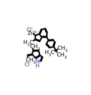 CC1=Cc2c(-c3ccc(C(C)(C)C)cc3)cccc2[CH]1[Zr+2].CC=C1C(C)=Cc2cc[nH]c21.[Cl-].[Cl-]